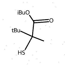 CC(C)COC(=O)C(C)(S)C(C)(C)C